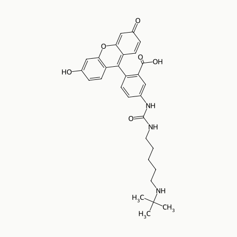 CC(C)(C)NCCCCCNC(=O)Nc1ccc(-c2c3ccc(=O)cc-3oc3cc(O)ccc23)c(C(=O)O)c1